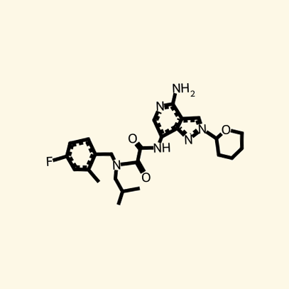 Cc1cc(F)ccc1CN(CC(C)C)C(=O)C(=O)Nc1cnc(N)c2cn(C3CCCCO3)nc12